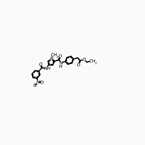 CCOC(=O)Cc1ccc(NC(=O)c2cc(NC(=O)c3cccc([N+](=O)[O-])c3)cn2C)cc1